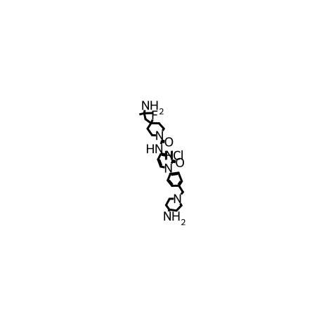 CC(C)(N)CC1(F)CCN(C(=O)Nc2ccn(-c3ccc(CN4CCC(N)CC4)cc3)c(=O)n2)CC1.Cl